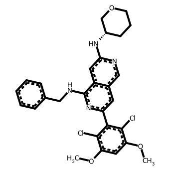 COc1cc(OC)c(Cl)c(-c2cc3cnc(N[C@H]4CCCOC4)cc3c(NCc3ccccc3)n2)c1Cl